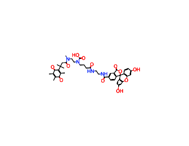 CC1=C(C)C(=O)C(C(C)(C)CC(=O)N(C)CCN(CCCC(=O)NCCNC(=O)c2ccc3c(c2)C(=O)OC32c3ccc(O)cc3Oc3cc(O)ccc32)C(=O)O)=C(C)C1=O